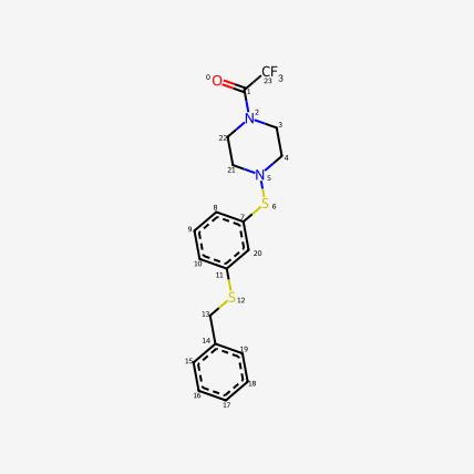 O=C(N1CCN(Sc2cccc(SCc3ccccc3)c2)CC1)C(F)(F)F